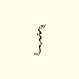 OCC=NCCN=CCO